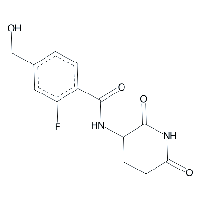 O=C1CCC(NC(=O)c2ccc(CO)cc2F)C(=O)N1